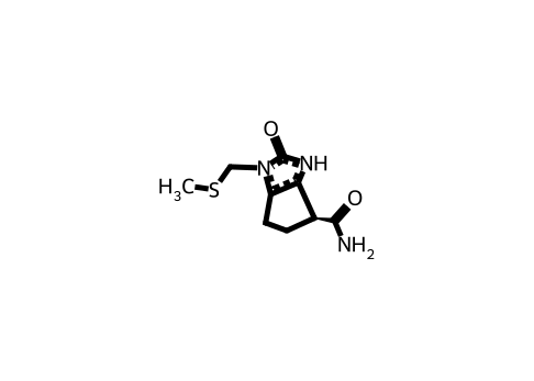 CSCn1c2c([nH]c1=O)[C@@H](C(N)=O)CC2